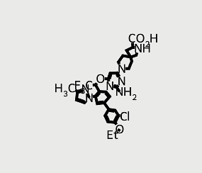 CCOc1ccc(-c2ccc(C(Oc3cc(N4CCC5(CC4)CNC(C(=O)O)C5)nc(N)n3)C(F)(F)F)c(-n3ccc(C)n3)c2)cc1Cl